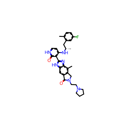 Cc1ccc(F)cc1C[C@H](C)Nc1cc[nH]c(=O)c1-c1nc2c(C)c3c(cc2[nH]1)C(=O)N(CCN1CCCC1)C3